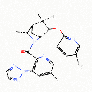 [2H]C1([2H])C2CC(C1Oc1ccc(C(F)(F)F)cn1)N(C(=O)c1ncc(C)cc1-n1nccn1)C2C